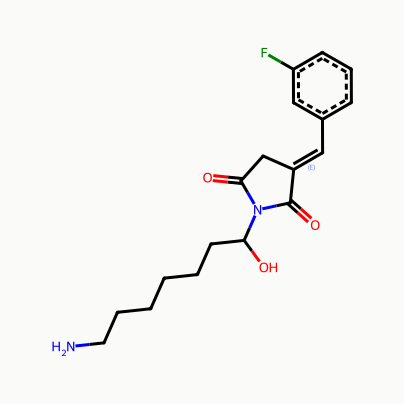 NCCCCCCC(O)N1C(=O)C/C(=C\c2cccc(F)c2)C1=O